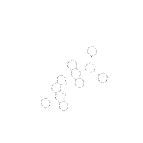 c1ccc(-c2cc(-c3c4ccccc4c(-c4ccc5ccc6c(-c7ccccc7)c7ccccc7nc6c5n4)c4ccccc34)nc(-c3ccccc3)n2)cc1